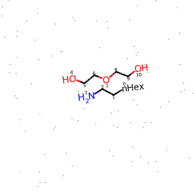 CCCCCCCCN.OCCOCCO